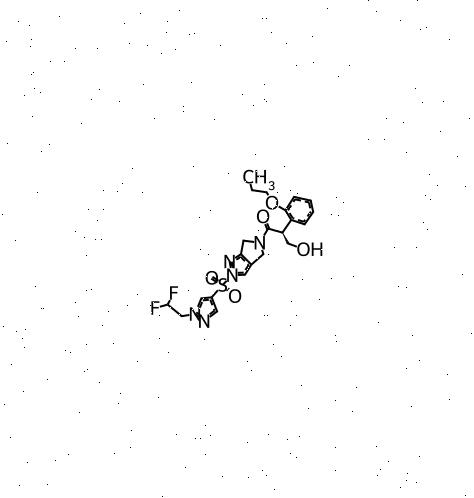 CCCOc1ccccc1[C@@H](CO)C(=O)N1Cc2cn(S(=O)(=O)c3cnn(CC(F)F)c3)nc2C1